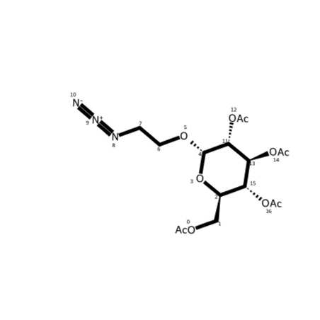 CC(=O)OC[C@H]1O[C@H](OCCN=[N+]=[N-])[C@H](OC(C)=O)[C@@H](OC(C)=O)[C@@H]1OC(C)=O